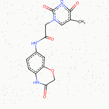 Cc1cn(CC(=O)Nc2ccc3c(c2)OCC(=O)N3)c(=O)[nH]c1=O